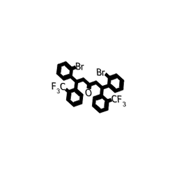 O=C(CC(c1ccccc1Br)c1ccccc1C(F)(F)F)CC(c1ccccc1Br)c1ccccc1C(F)(F)F